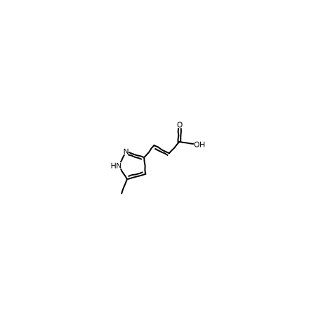 Cc1cc(/C=C/C(=O)O)n[nH]1